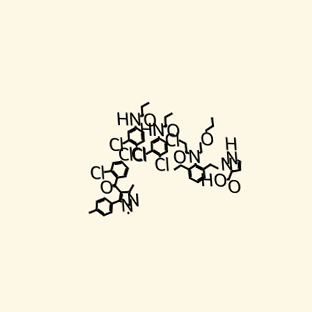 CCC(=O)Nc1ccc(Cl)c(Cl)c1.CCC(=O)Nc1ccc(Cl)c(Cl)c1.CCCOCCN(C(=O)CCl)c1c(CC)cccc1CC.Cc1ccc(-c2c(C(=O)c3ccc(Cl)cc3Cl)c(C)nn2C)cc1.O=C(O)c1cc[nH]n1